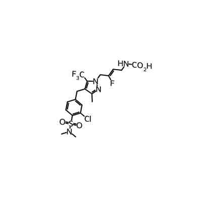 Cc1nn(C/C(F)=C/CNC(=O)O)c(C(F)(F)F)c1Cc1ccc(S(=O)(=O)N(C)C)c(Cl)c1